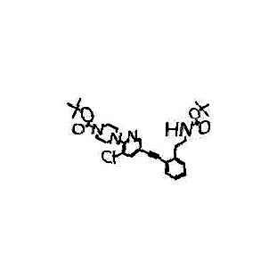 CC(C)(C)OC(=O)NCCc1ccccc1C#Cc1cnc(N2CCN(C(=O)OC(C)(C)C)CC2)c(Cl)c1